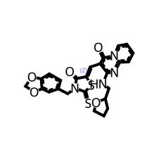 O=C1/C(=C/c2c(NCC3CCCO3)nc3ccccn3c2=O)SC(=S)N1Cc1ccc2c(c1)OCO2